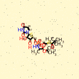 CC(C)OC(=O)[C@H](C)NP(=O)(OCCSC(=O)C(C)(C)C)OC[C@H]1S[C@@H](n2ccc(=O)[nH]c2=O)[C@H](O)[C@@H]1O